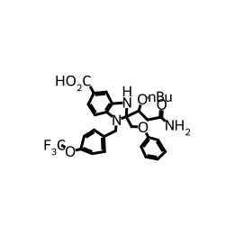 CCCCOC(CC(N)=O)C1(COc2ccccc2)Nc2cc(C(=O)O)ccc2N1Cc1ccc(OC(F)(F)F)cc1